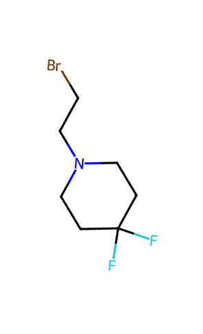 FC1(F)CCN(CCBr)CC1